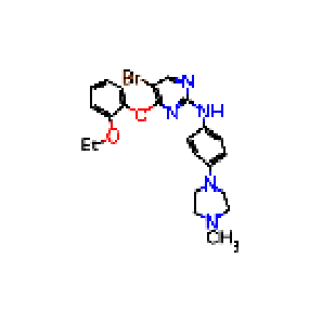 CCOc1ccccc1Oc1nc(Nc2ccc(N3CCN(C)CC3)cc2)ncc1Br